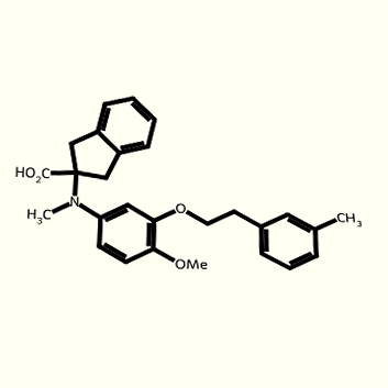 COc1ccc(N(C)C2(C(=O)O)Cc3ccccc3C2)cc1OCCc1cccc(C)c1